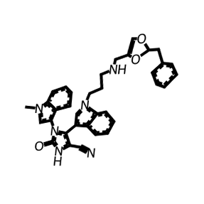 Cn1cc(-n2c(-c3cn(CCCNCC4=COC(Cc5ccccc5)O4)c4ccccc34)c(C#N)[nH]c2=O)c2ccccc21